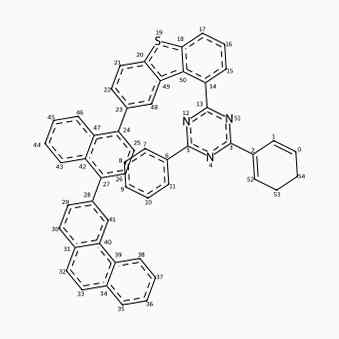 C1=CC(c2nc(-c3ccccc3)nc(-c3cccc4sc5ccc(-c6ccc(-c7ccc8ccc9ccccc9c8c7)c7ccccc67)cc5c34)n2)=CCC1